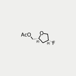 CC(=O)OC[C@H]1C[C@@H](F)CO1